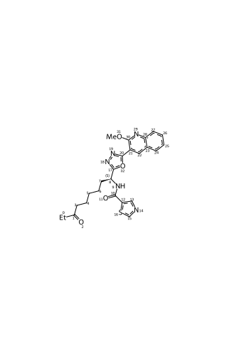 CCC(=O)CCCCC[C@H](NC(=O)c1cncs1)c1nnc(-c2cc3ccccc3nc2OC)o1